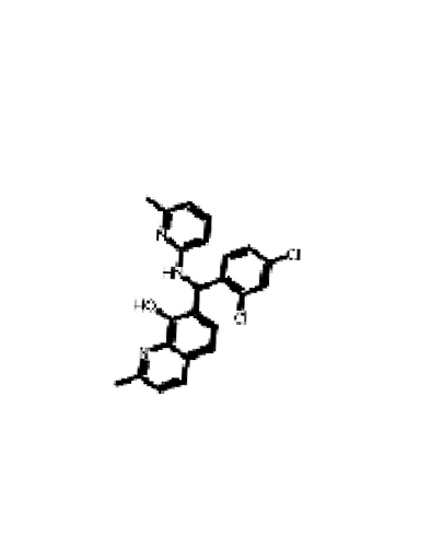 Cc1cccc(NC(c2ccc(Cl)cc2Cl)c2ccc3ccc(C)nc3c2O)n1